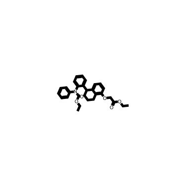 CCOC(=O)COc1cccc2c1CCCC2c1ccccc1N(C(=O)OCC)c1ccccc1